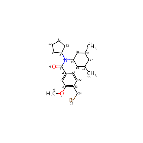 COc1cc(C(=O)N(C2CCCC2)C2CC(C)CC(C)C2)ccc1CBr